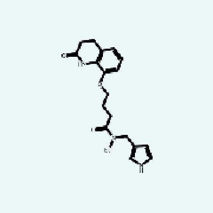 CCN(Cc1cc[nH]c1)C(=O)CCCOc1cccc2c1NC(=O)CC2